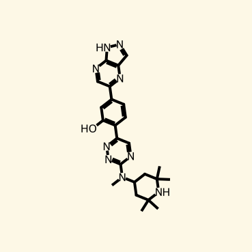 CN(c1ncc(-c2ccc(-c3cnc4[nH]ncc4n3)cc2O)nn1)C1CC(C)(C)NC(C)(C)C1